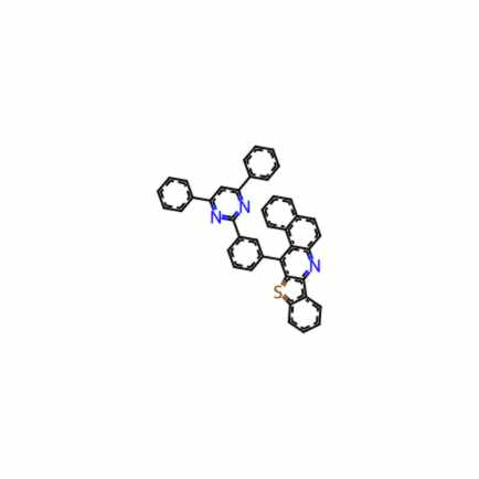 c1ccc(-c2cc(-c3ccccc3)nc(-c3cccc(-c4c5sc6ccccc6c5nc5ccc6ccccc6c45)c3)n2)cc1